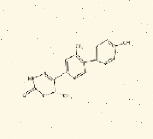 C[C@@H]1OC(=O)NN=C1c1ccc(-c2ccc(O)cc2)c(C(F)(F)F)c1